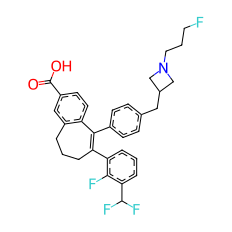 O=C(O)c1ccc2c(c1)CCCC(c1cccc(C(F)F)c1F)=C2c1ccc(CC2CN(CCCF)C2)cc1